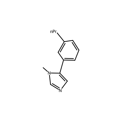 CCCc1cccc(-c2cncn2C)c1